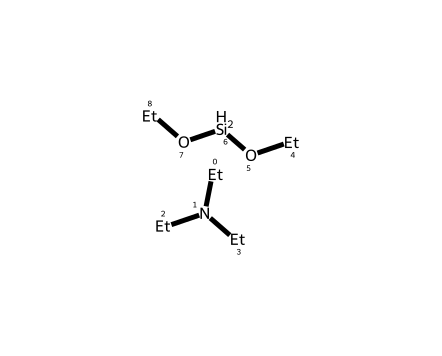 CCN(CC)CC.CCO[SiH2]OCC